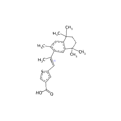 C/C(=C\c1cc(C(=O)O)cs1)c1cc2c(cc1C)C(C)(C)CCC2(C)C